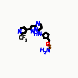 NSOCC1CCC(Nc2ccnc3cc(-c4ccnc(C(F)(F)F)c4)nn23)C1